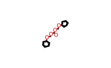 O=C(OCOc1ccccc1)OCOc1ccccc1